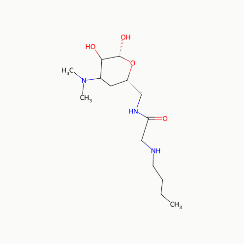 CCCCNCC(=O)NC[C@@H]1CC(N(C)C)C(O)[C@H](O)O1